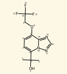 CC(C)(O)c1ccc(OCC(F)(F)F)c2ncnn12